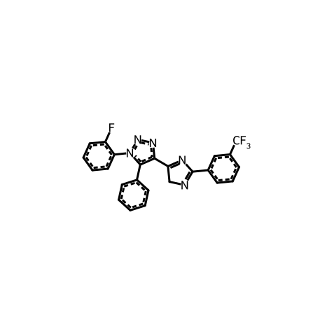 Fc1ccccc1-n1nnc(C2=NC(c3cccc(C(F)(F)F)c3)=NC2)c1-c1ccccc1